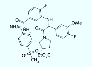 CCOC(=O)[C@H]1CCN(C(=O)[C@H](Nc2cc(C(N)=O)ccc2F)c2ccc(F)c(OC)c2)[C@H]1c1cc(NC(C)=O)ccc1S(C)(=O)=O